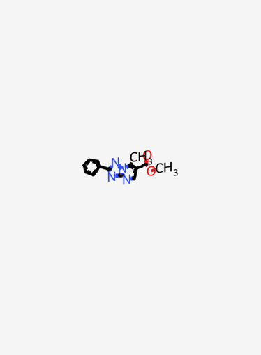 COC(=O)c1cnc2nc(-c3ccccc3)nn2c1C